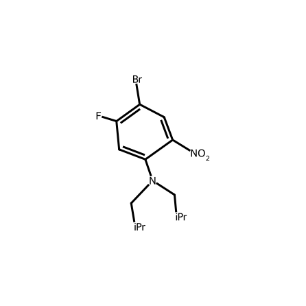 CC(C)CN(CC(C)C)c1cc(F)c(Br)cc1[N+](=O)[O-]